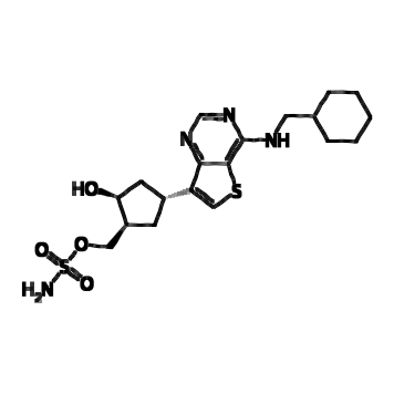 NS(=O)(=O)OC[C@@H]1C[C@@H](c2csc3c(NCC4CCCCC4)ncnc23)C[C@@H]1O